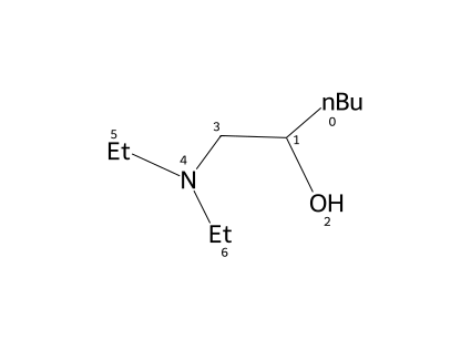 [CH2]CCCC(O)CN(CC)CC